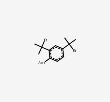 CCC(C)(C)c1ccc(OC(C)=O)c(C(C)(C)CC)c1